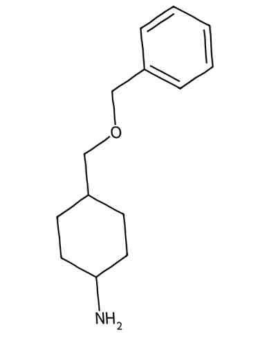 NC1CCC(COCc2ccccc2)CC1